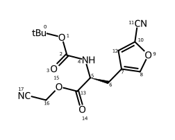 CC(C)(C)OC(=O)N[C@@H](Cc1coc(C#N)c1)C(=O)OCC#N